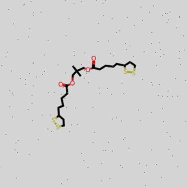 CC(C)(COC(=O)CCCCC1CCSS1)COC(=O)CCCCC1CCSS1